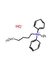 CCCCCCCCCCCCCC[N+](CCC)(c1ccccc1)c1ccccc1.[OH-]